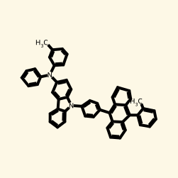 Cc1cccc(N(c2ccccc2)c2ccc3c(c2)c2ccccc2n3-c2ccc(-c3c4ccccc4c(-c4ccccc4C)c4ccccc34)cc2)c1